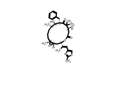 CC(=Cc1csc(C)n1)[C@@H]1C[C@@H]2O[C@]2(C)CCC[C@H](C)[C@@H](O)[C@H](Cc2ccccc2)C(=O)C(C)(C)[C@@H](O)CC(=O)O1